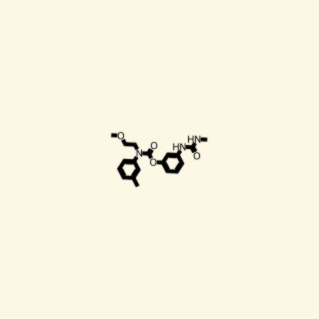 CNC(=O)Nc1cccc(OC(=O)N(CCOC)c2cccc(C)c2)c1